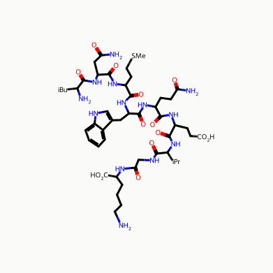 CCC(C)C(N)C(=O)NC(CC(N)=O)C(=O)NC(CCSC)C(=O)NC(Cc1c[nH]c2ccccc12)C(=O)NC(CCC(N)=O)C(=O)NC(CCC(=O)O)C(=O)NC(C(=O)NCC(=O)NC(CCCCN)C(=O)O)C(C)C